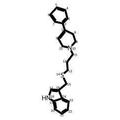 C1=C(c2ccccc2)CCN(CCCSCc2c[nH]c3ccccc23)C1